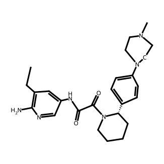 CCc1cc(NC(=O)C(=O)N2CCCC[C@H]2c2ccc(N3CCN(C)CC3)cc2)cnc1N